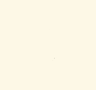 CC[CH]Sc1ccccc1